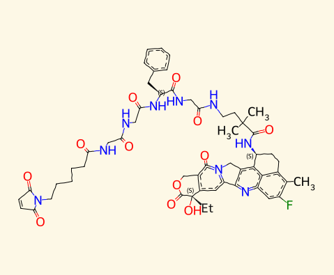 CC[C@@]1(O)C(=O)OCc2c1cc1n(c2=O)Cc2c-1nc1cc(F)c(C)c3c1c2[C@@H](NC(=O)C(C)(C)CCNC(=O)CNC(=O)[C@H](Cc1ccccc1)NC(=O)CNC(=O)CNC(=O)CCCCCN1C(=O)C=CC1=O)CC3